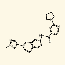 Cn1cc(-c2ccc3cnc(NC(=O)c4ccnc(N5CCCC5)c4)cc3c2)cn1